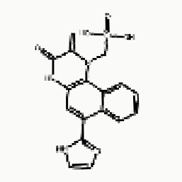 O=c1[nH]c2cc(-c3ncc[nH]3)c3ccccc3c2n(CP(=O)(O)O)c1=O